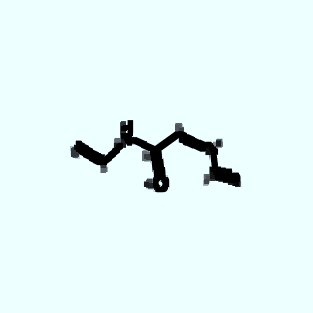 C=CNC(=O)/C=N\NC